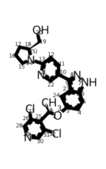 C[C@@H](Oc1ccc2[nH]nc(-c3ccc(N4CCC[C@H]4CO)nc3)c2c1)c1c(Cl)cncc1Cl